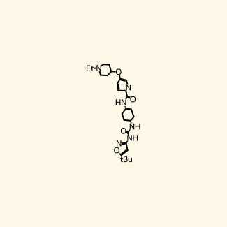 CCN1CCC(Oc2ccc(C(=O)N[C@H]3CC[C@H](NC(=O)Nc4cc(C(C)(C)C)on4)CC3)nc2)CC1